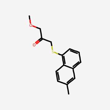 COCC(=O)CSc1cccc2cc(C)ccc12